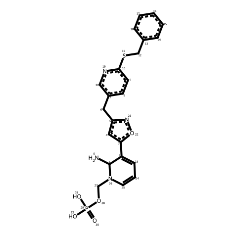 NC1C(c2cc(Cc3ccc(SCc4ccccc4)nc3)no2)=CC=CN1COP(=O)(O)O